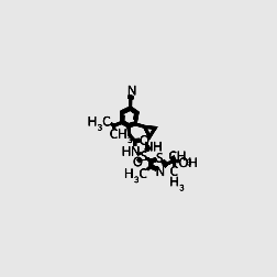 Cc1nc(C(C)(C)O)sc1S(=N)(=O)NC(=O)Cc1c(C(C)C)cc(C#N)cc1C1CC1